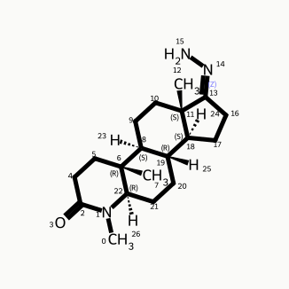 CN1C(=O)CC[C@]2(C)[C@H]3CC[C@]4(C)/C(=N\N)CC[C@H]4[C@@H]3CC[C@@H]12